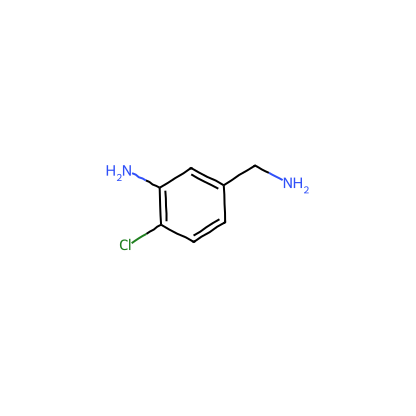 NCc1ccc(Cl)c(N)c1